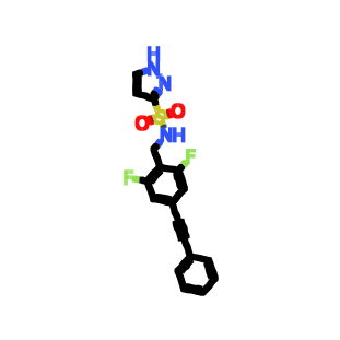 O=S(=O)(NCc1c(F)cc(C#Cc2ccccc2)cc1F)c1cc[nH]n1